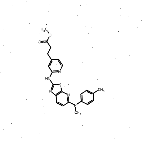 COC(=O)CCc1ccnc(Nc2nc3ccc(N(C)c4ccc(C)cc4)nc3s2)c1